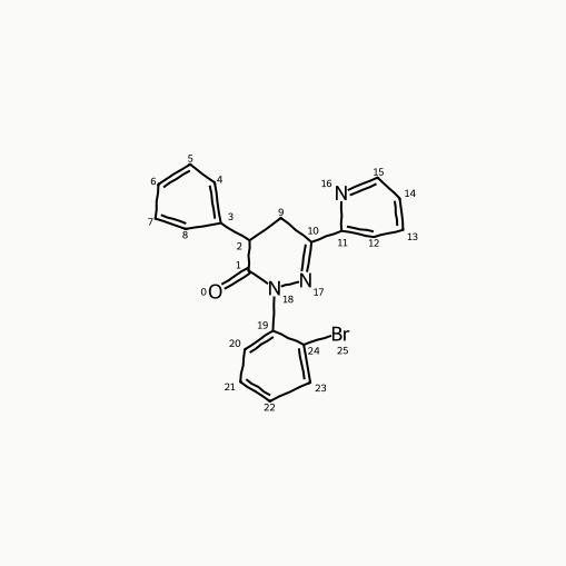 O=C1C(c2ccccc2)CC(c2ccccn2)=NN1c1ccccc1Br